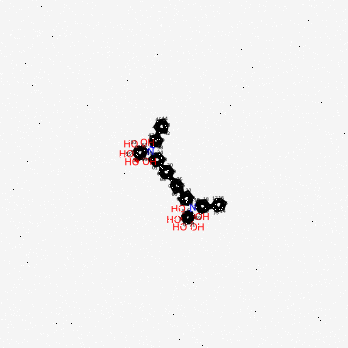 Oc1c(O)c(O)c(N(c2ccc(C3=CC=CCC3)cc2)c2ccc(-c3ccc(-c4ccc(-c5ccc(N(c6ccc(-c7ccccc7)cc6)c6c(O)c(O)c(O)c(O)c6O)cc5)cc4)cc3)cc2)c(O)c1O